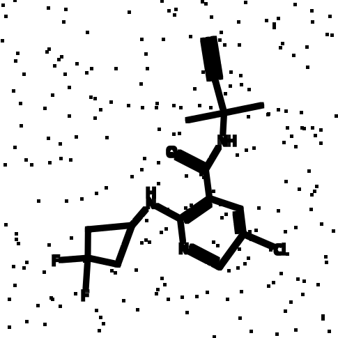 C#CC(C)(C)NC(=O)c1cc(Cl)cnc1NC1CC(F)(F)C1